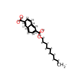 [CH2]CCCCCCCCCOC(=O)c1ccc2cc(C([O])=O)ccc2c1